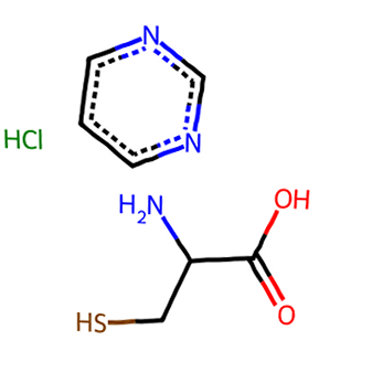 Cl.NC(CS)C(=O)O.c1cncnc1